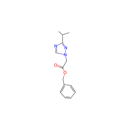 CC(C)c1ncn(CC(=O)OCc2ccccc2)n1